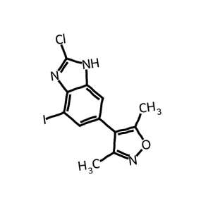 Cc1noc(C)c1-c1cc(I)c2nc(Cl)[nH]c2c1